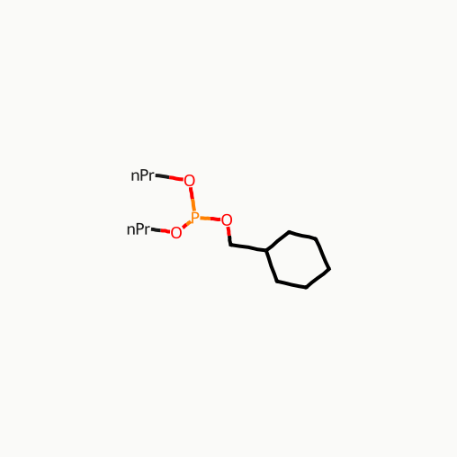 CCCOP(OCCC)OCC1CCCCC1